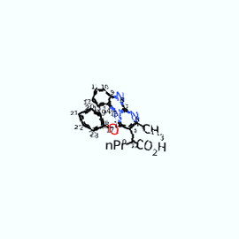 CCCC(C(=O)O)c1c(C)nc2nc3ccccc3n2c1Oc1ccccc1